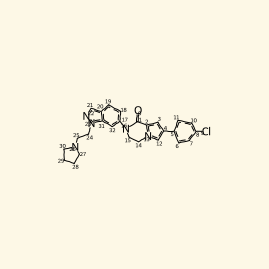 O=C1c2cc(-c3ccc(Cl)cc3)cn2CCN1c1ccc2cnn(CCN3CCCC3)c2c1